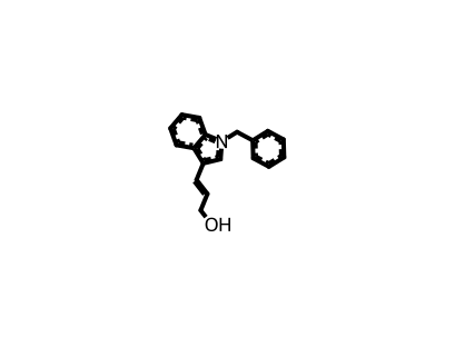 OCC=Cc1cn(Cc2ccccc2)c2ccccc12